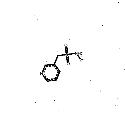 [CH2-][NH2+]S(=O)(=O)Cc1cccnc1